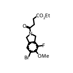 CCOC(=O)CCC(=O)N1Cc2cc(Br)c(OC)c(F)c2C1